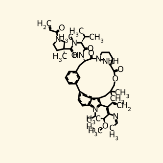 C=CC(=O)N1CC[C@](C)(C(=O)N(C)[C@H](C(=O)N[C@H]2Cc3cccc(c3)-c3ccc4c(c3)c(c(/C(C=C)=C(/N=C\C)[C@H](C)OC)n4CC)CC(C)(C)COC(=O)[C@@H]3CCCN(N3)C2=O)C(C)C)C1